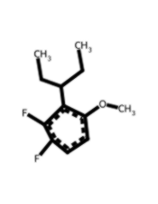 CCC(CC)c1c(OC)ccc(F)c1F